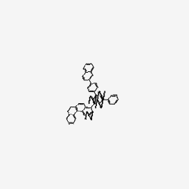 c1ccc(-c2nc(-c3ccc(-c4ccc5ccccc5c4)cc3)nc(-c3cncc4c3ccc3ccc5ccccc5c34)n2)cc1